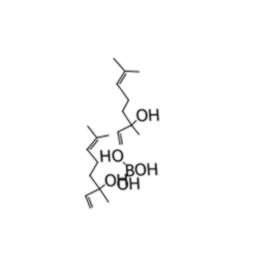 C=CC(C)(O)CCC=C(C)C.C=CC(C)(O)CCC=C(C)C.OB(O)O